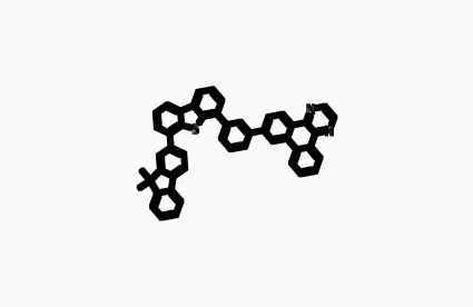 CC1(C)c2ccccc2-c2ccc(-c3cccc4c3sc3c(-c5cccc(-c6ccc7c(c6)c6ccccc6c6nccnc76)c5)cccc34)cc21